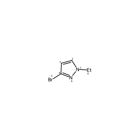 CCn1ccc(Br)n1